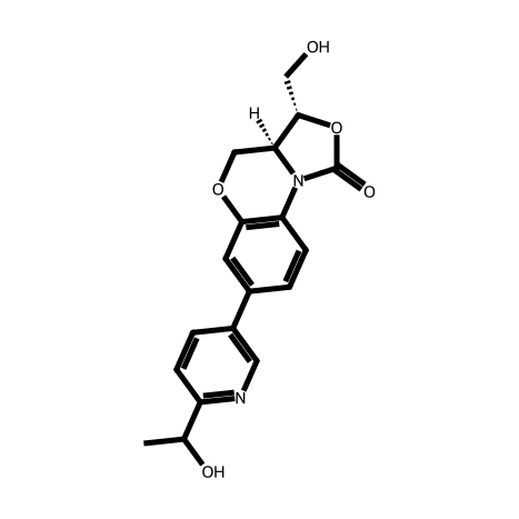 CC(O)c1ccc(-c2ccc3c(c2)OC[C@H]2[C@H](CO)OC(=O)N32)cn1